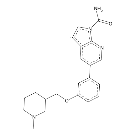 CN1CCCC(COc2cccc(-c3cnc4c([c]cn4C(N)=O)c3)c2)C1